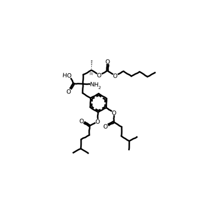 CCCCCOC(=O)O[C@@H](C)CC(N)(Cc1ccc(OC(=O)CCC(C)C)c(OC(=O)CCC(C)C)c1)C(=O)O